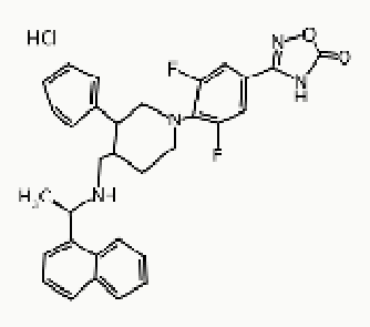 C[C@@H](NCC1CCN(c2c(F)cc(-c3noc(=O)[nH]3)cc2F)CC1c1ccccc1)c1cccc2ccccc12.Cl